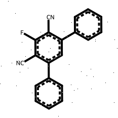 N#Cc1c(-c2ccccc2)cc(-c2ccccc2)c(C#N)c1F